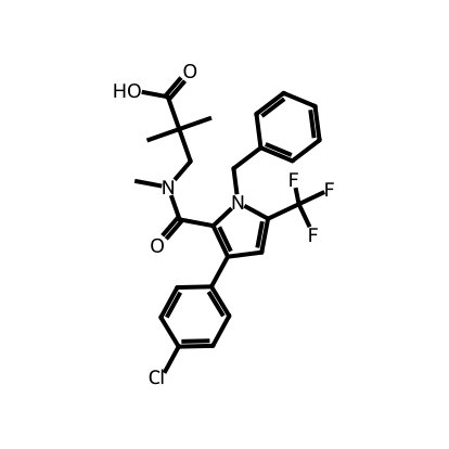 CN(CC(C)(C)C(=O)O)C(=O)c1c(-c2ccc(Cl)cc2)cc(C(F)(F)F)n1Cc1ccccc1